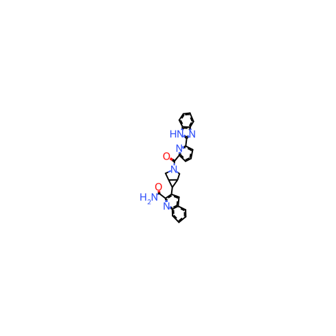 NC(=O)c1nc2ccccc2cc1C1C2CN(C(=O)c3cccc(-c4nc5ccccc5[nH]4)n3)CC21